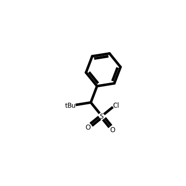 CC(C)(C)C(c1ccccc1)S(=O)(=O)Cl